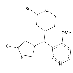 COc1ccncc1C(C1C=NN(C)C1)C1CCOC(Br)C1